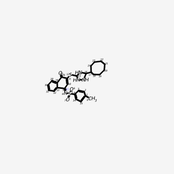 Cc1ccc(S(=O)(=O)/N=C2\C=C(SC3NNC(C4CCCCCCC4)N3)C(=O)c3ccccc32)cc1